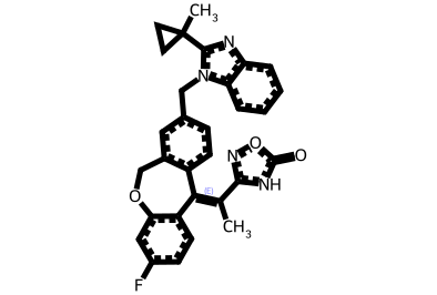 C/C(=C1/c2ccc(Cn3c(C4(C)CC4)nc4ccccc43)cc2COc2cc(F)ccc21)c1noc(=O)[nH]1